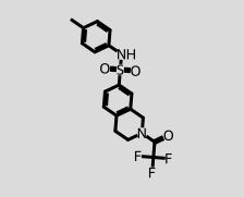 Cc1ccc(NS(=O)(=O)c2ccc3c(c2)CN(C(=O)C(F)(F)F)CC3)cc1